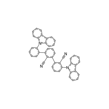 N#Cc1c(-c2ccccc2-n2c3ccccc3c3ccccc32)cccc1-c1cccc(-n2c3ccccc3c3ccccc32)c1C#N